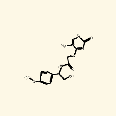 COc1ccc(C(CO)NC(=O)CSc2nc(=O)[nH]cc2C)cc1